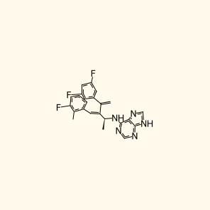 C=C(/C(=C\c1cccc(F)c1C)[C@H](C)Nc1ncnc2[nH]cnc12)c1cc(F)cc(F)c1